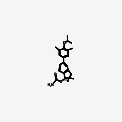 Cc1cc(-c2ccc3c(c2)CC(C)(C)[C@H]3OC(N)=O)cc(C)c1OC(C)C